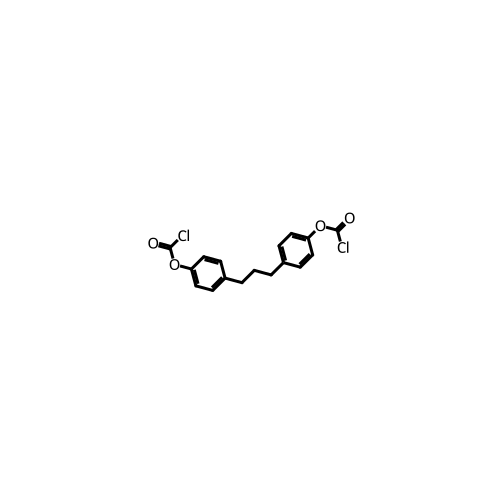 O=C(Cl)Oc1ccc(CCCc2ccc(OC(=O)Cl)cc2)cc1